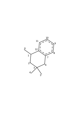 CC1CC(C)(C)Cc2ccccc21